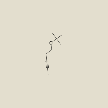 CC#CCCOC(C)(C)C